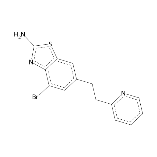 Nc1nc2c(Br)cc(CCc3ccccn3)cc2s1